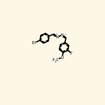 CCc1ccc(/C=N/N=C\c2ccc(OC(F)(F)F)c(F)c2)cc1